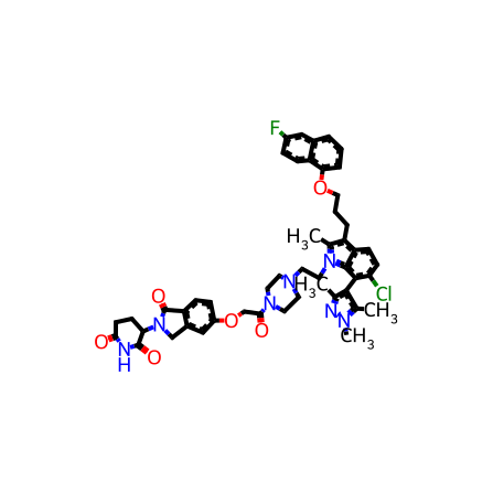 Cc1nn(C)c(C)c1-c1c(Cl)ccc2c(CCCOc3cccc4cc(F)ccc34)c(C)n(CCN3CCN(C(=O)COc4ccc5c(c4)CN(C4CCC(=O)NC4=O)C5=O)CC3)c12